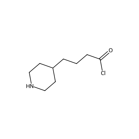 O=C(Cl)CCCC1CCNCC1